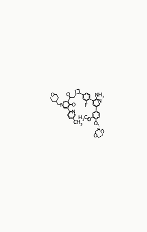 COc1cc(-c2cnc(N)c(-c3ccc(C4CCC4CC(=O)c4cn(CC5CCOCC5)cc(-c5ccc(C)cn5)c4=O)cc3F)c2)ccc1OC[C@H]1COCCO1